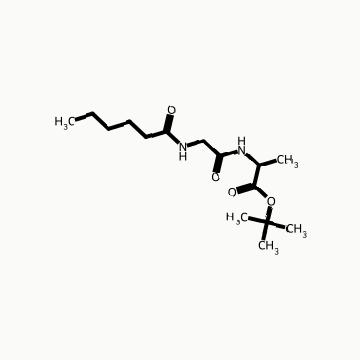 CCCCCC(=O)NCC(=O)NC(C)C(=O)OC(C)(C)C